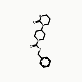 O=C(OCc1ccccc1)N1CCC(N2CCCNC2=O)CC1